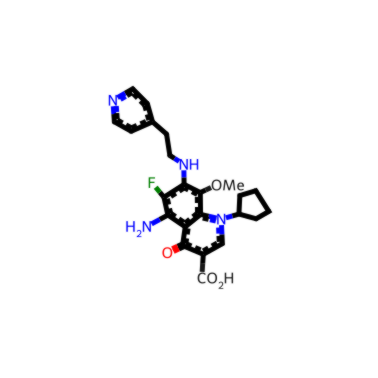 COc1c(NCCc2ccncc2)c(F)c(N)c2c(=O)c(C(=O)O)cn(C3CCCC3)c12